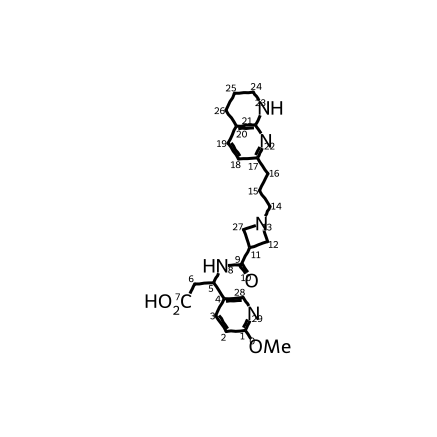 COc1ccc(C(CC(=O)O)NC(=O)C2CN(CCCc3ccc4c(n3)NCCC4)C2)cn1